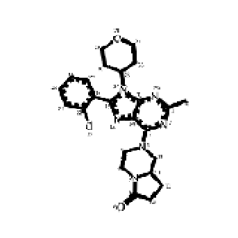 Cc1nc(N2CCN3C(=O)CCC3C2)c2nc(-c3ccccc3Cl)n(C3CCOCC3)c2n1